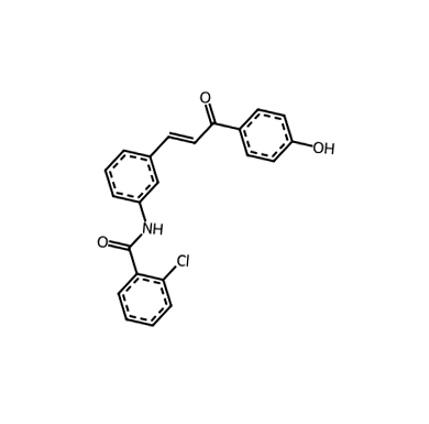 O=C(C=Cc1cccc(NC(=O)c2ccccc2Cl)c1)c1ccc(O)cc1